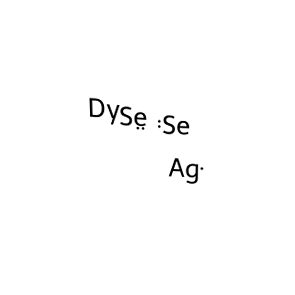 [Ag].[Dy].[Se].[Se]